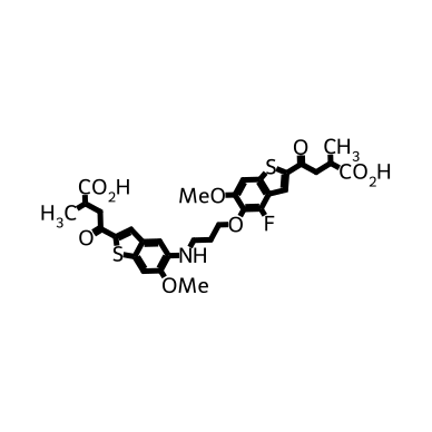 COc1cc2sc(C(=O)CC(C)C(=O)O)cc2cc1NCCCOc1c(OC)cc2sc(C(=O)CC(C)C(=O)O)cc2c1F